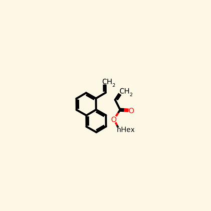 C=CC(=O)OCCCCCC.C=Cc1cccc2ccccc12